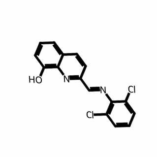 Oc1cccc2ccc(/C=N/c3c(Cl)cccc3Cl)nc12